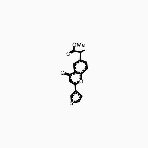 COC(=O)C(C)c1ccc2oc(-c3ccsc3)cc(=O)c2c1